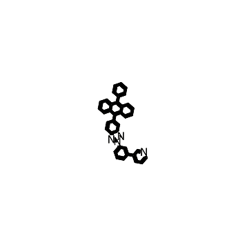 c1ccc(-c2c3ccccc3c(-c3ccc4nn(-c5cccc(-c6cccnc6)c5)nc4c3)c3ccccc23)cc1